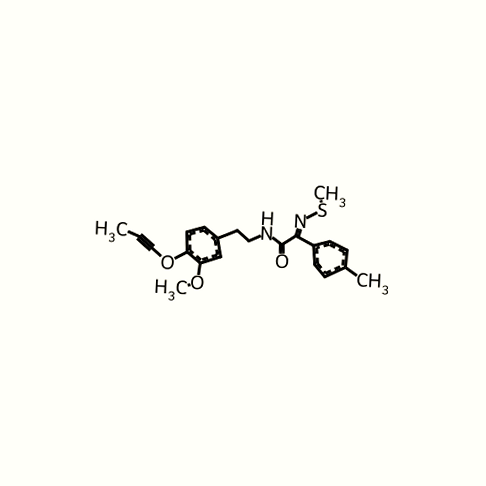 CC#COc1ccc(CCNC(=O)C(=NSC)c2ccc(C)cc2)cc1OC